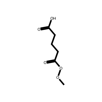 COOC(=O)CCCC(=O)O